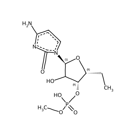 CC[C@H]1O[C@H](n2ccc(N)nc2=O)C(O)[C@H]1OP(=O)(O)OC